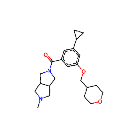 CN1CC2CN(C(=O)c3cc(OCC4CCOCC4)cc(C4CC4)c3)CC2C1